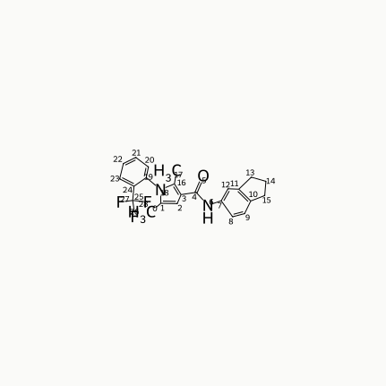 Cc1cc(C(=O)Nc2ccc3c(c2)CCC3)c(C)n1-c1ccccc1C(F)(F)F